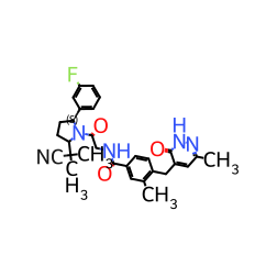 Cc1cc(Cc2ccc(C(=O)NCC(=O)N3C(C(C)(C)C#N)CC[C@H]3c3cccc(F)c3)cc2C)c(=O)[nH]n1